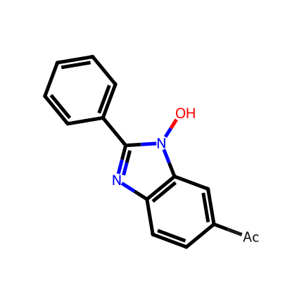 CC(=O)c1ccc2nc(-c3ccccc3)n(O)c2c1